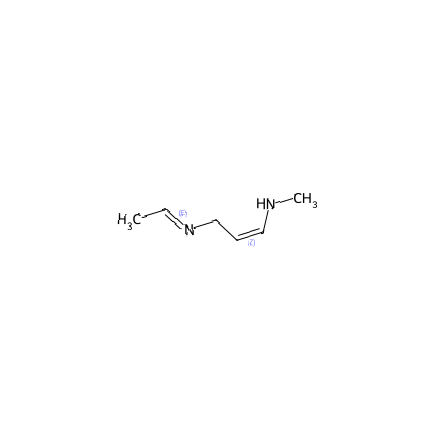 C/C=N/C/C=C\NC